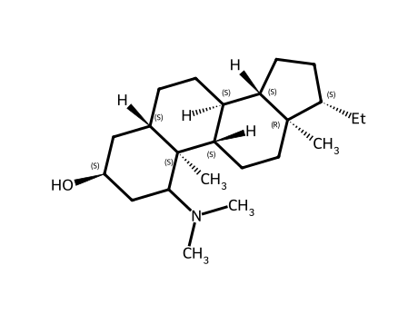 CC[C@H]1CC[C@H]2[C@@H]3CC[C@H]4C[C@H](O)CC(N(C)C)[C@]4(C)[C@H]3CC[C@]12C